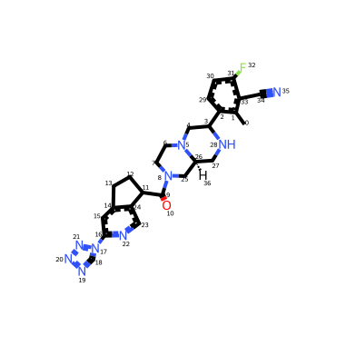 Cc1c(C2CN3CCN(C(=O)C4CCc5cc(-n6cnnn6)ncc54)C[C@@H]3CN2)ccc(F)c1C#N